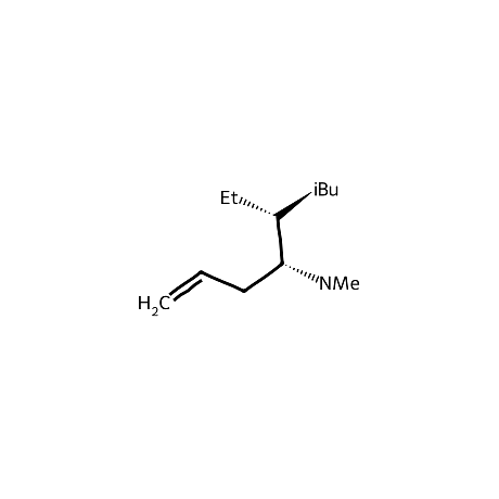 C=CC[C@@H](NC)[C@H](CC)[C@H](C)CC